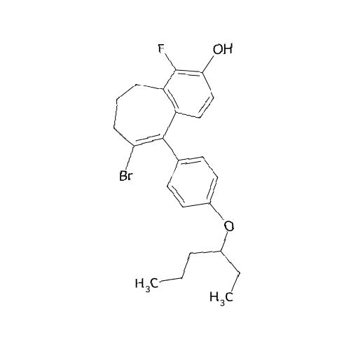 CCCC(CC)Oc1ccc(C2=C(Br)CCCc3c2ccc(O)c3F)cc1